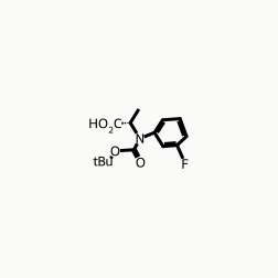 C[C@@H](C(=O)O)N(C(=O)OC(C)(C)C)c1cccc(F)c1